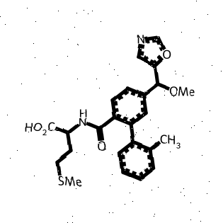 COC(c1ccc(C(=O)NC(CCSC)C(=O)O)c(-c2ccccc2C)c1)c1cnco1